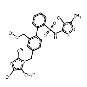 CCCc1nc(CC)c(C(=O)O)n1Cc1ccc(-c2ccccc2S(=O)(=O)Nc2noc(C)c2Cl)c(COCC)c1